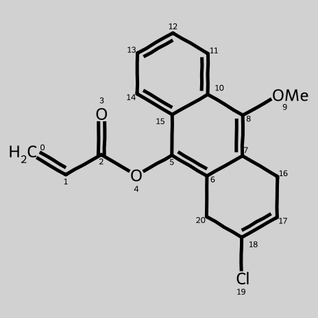 C=CC(=O)Oc1c2c(c(OC)c3ccccc13)CC=C(Cl)C2